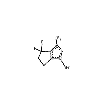 CC(C)n1nc(C(F)(F)F)c2c1CCC2(F)F